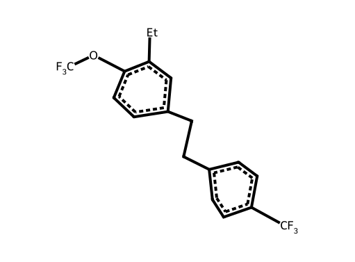 CCc1cc(CCc2ccc(C(F)(F)F)cc2)ccc1OC(F)(F)F